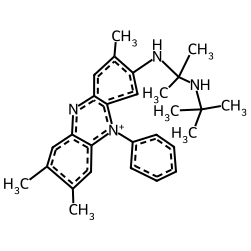 Cc1cc2nc3cc(C)c(NC(C)(C)NC(C)(C)C)cc3[n+](-c3ccccc3)c2cc1C